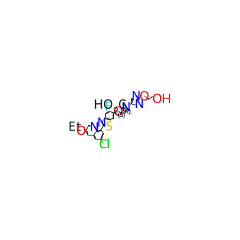 CCOc1cnc2c(-c3nc4cc(F)c(O[C@@H](C)[C@@H](C)N(C(=O)O)c5cnc(OCCO)nc5)cc4s3)cc(Cl)cc2c1